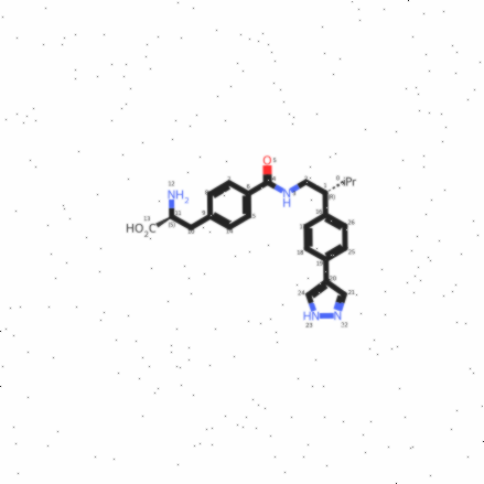 CC(C)[C@@H](CNC(=O)c1ccc(C[C@H](N)C(=O)O)cc1)c1ccc(-c2cn[nH]c2)cc1